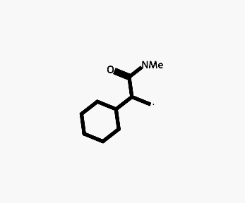 [CH2]C(C(=O)NC)C1CCCCC1